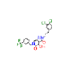 O=C(NCCCc1ccc(Cl)c(Cl)c1)c1ccn(Cc2cccc(C(F)(F)F)c2)c(=O)c1O